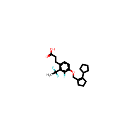 CC(F)(F)c1c(CCC(=O)O)ccc(OCC2=C(C3CCCC3)CCC2)c1F